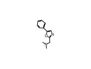 CN(C)Cc1ncc(-c2ccccc2)o1